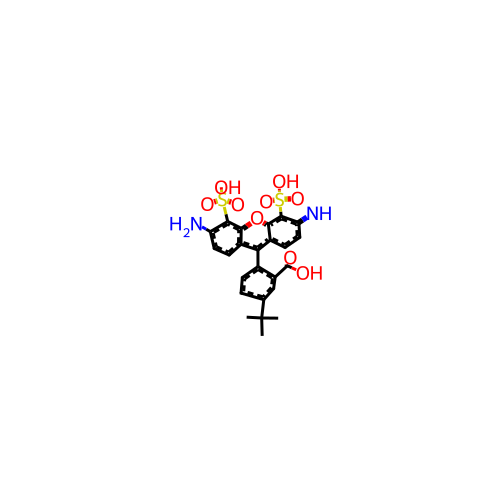 CC(C)(C)c1ccc(-c2c3ccc(=N)c(S(=O)(=O)O)c-3oc3c(S(=O)(=O)O)c(N)ccc23)c(C(=O)O)c1